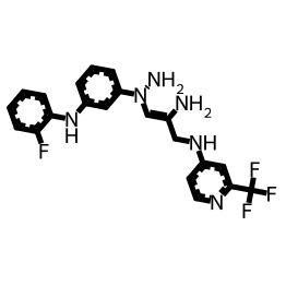 N/C(=C\N(N)c1cccc(Nc2ccccc2F)c1)CNc1ccnc(C(F)(F)F)c1